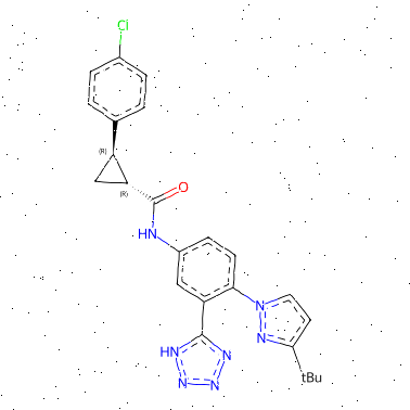 CC(C)(C)c1ccn(-c2ccc(NC(=O)[C@@H]3C[C@H]3c3ccc(Cl)cc3)cc2-c2nnn[nH]2)n1